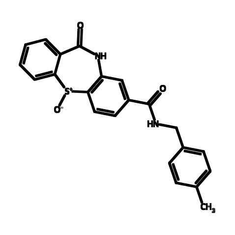 Cc1ccc(CNC(=O)c2ccc3c(c2)NC(=O)c2ccccc2[S+]3[O-])cc1